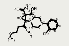 CSCCC(=C=O)C1(N2CCN(c3ccccc3Cl)CC2)OC1(C(N)=O)C(=O)O